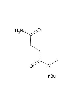 CCCCN(C)C(=O)CCC(N)=O